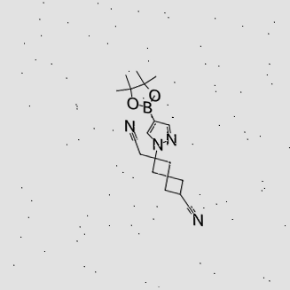 CC1(C)OB(c2cnn(C3(CC#N)CC4(CC(C#N)C4)C3)c2)OC1(C)C